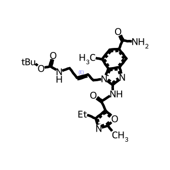 CCc1nc(C)oc1C(=O)Nc1nc2cc(C(N)=O)cc(C)c2n1C/C=C/CNC(=O)OC(C)(C)C